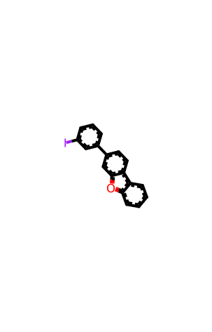 Ic1cccc(-c2ccc3c(c2)oc2ccccc23)c1